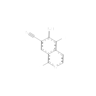 Cc1c(N)c(C#N)cc2c(O)nccc12